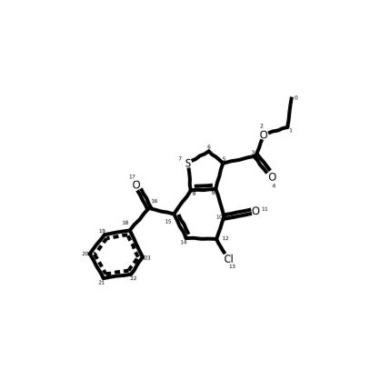 CCOC(=O)C1CSC2=C1C(=O)C(Cl)C=C2C(=O)c1ccccc1